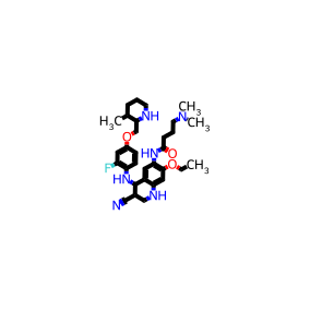 CCOc1cc2c(cc1NC(=O)CCCN(C)C)C(Nc1ccc(OCC3NCCCC3C)cc1F)C(C#N)CN2